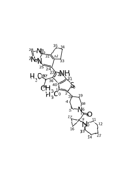 Cc1c(C2CCN(C(=O)C3(N4CCCCC4)CC3)CC2)sc2[nH]c(-c3cn4ncnc4c4c3CCC4)c(C(C)C)c12